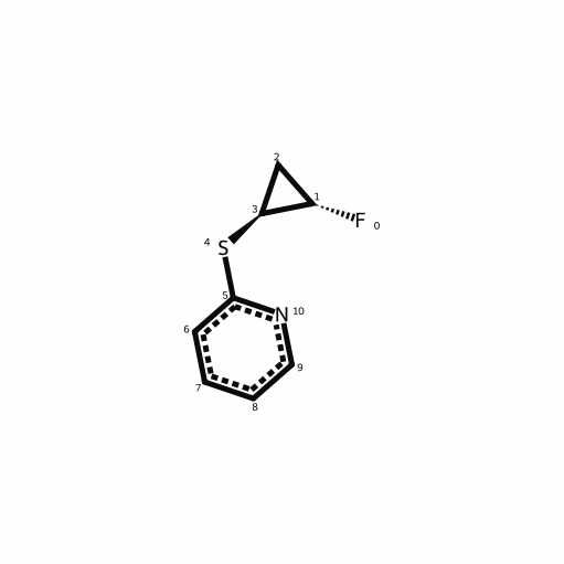 F[C@H]1C[C@@H]1Sc1ccccn1